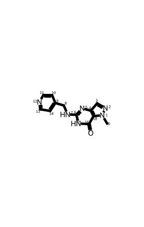 Cn1ncc2nc(NCc3ccncc3)[nH]c(=O)c21